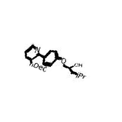 CCCCCCCCCCc1cccnc1-c1ccc(OCC(O)CC(C)C)cc1